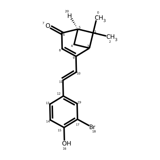 CC1(C)C2C[C@H]1C(=O)C=C2C=Cc1ccc(O)c(Br)c1